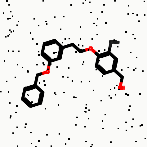 COc1cc(CO)ccc1OCCc1cccc(OCc2ccccc2)c1